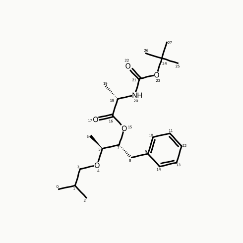 CC(C)CO[C@@H](C)[C@@H](Cc1ccccc1)OC(=O)[C@H](C)NC(=O)OC(C)(C)C